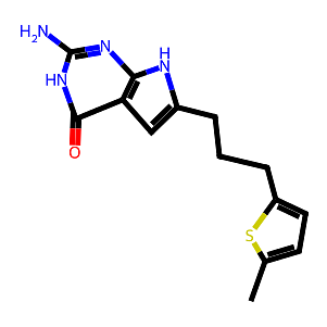 Cc1ccc(CCCc2cc3c(=O)[nH]c(N)nc3[nH]2)s1